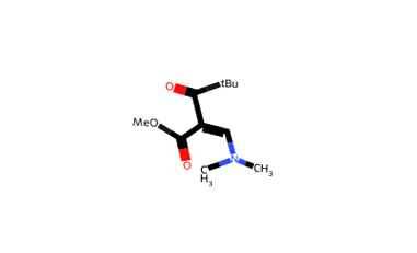 COC(=O)/C(=C\N(C)C)C(=O)C(C)(C)C